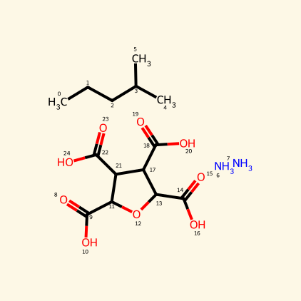 CCCC(C)C.N.N.O=C(O)C1OC(C(=O)O)C(C(=O)O)C1C(=O)O